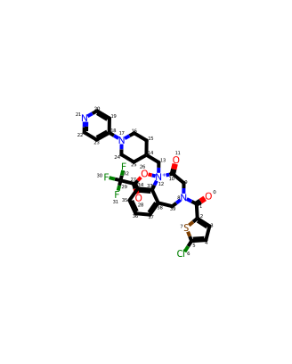 O=C(c1ccc(Cl)s1)N1CC(=O)[N+](CC2CCN(c3ccncc3)CC2)(OC(=O)C(F)(F)F)c2ccccc2C1